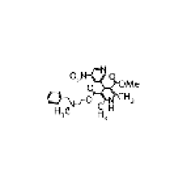 COC(=O)C1=C(C)NC(C)=C(C(=O)OCCN(C)Cc2ccccc2)C1c1cncc([N+](=O)[O-])c1